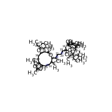 CC[C@H](O[Si](CC)(CC)CC)[C@@H](C)[C@@H]1O[C@H]1C[C@](C)(/C=C/C=C(\C)C1OC(=O)CC(O[Si](CC)(CC)CC)CCC(C)(OC)C(OC(C)=O)/C=C\C1C)O[Si](CC)(CC)CC